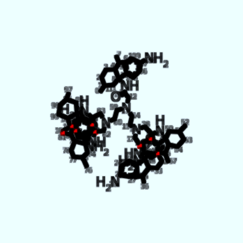 CC1CCC(C(C)C)C(NC(=O)CN(CCN(CC(=O)NC2(c3ccc(N)cc3)CC(C)CCC2C(C)C)CC(=O)NC2(c3ccc(N)cc3)CC(C)CCC2C(C)C)CCN(CC(=O)NC2(c3ccc(N)cc3)CC(C)CCC2C(C)C)CC(=O)NC2(c3ccc(N)cc3)CC(C)CCC2C(C)C)(c2ccc(N)cc2)C1